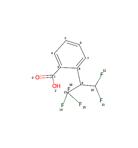 O=C(O)c1ccccc1C(C(F)F)C(F)(F)F